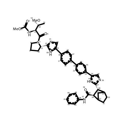 COC(=O)N[C@H](C(=O)N1CCC[C@H]1c1ncc(-c2ccc(-c3ccc(-c4cnc([C@@H]5C6CCC(C6)[C@H]5C(=O)Nc5ccccc5)[nH]4)cc3)cc2)[nH]1)[C@@H](C)OC